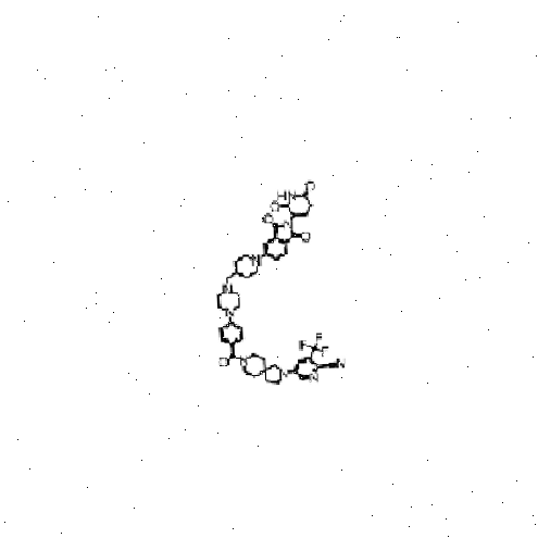 N#Cc1ncc(N2CCC3(CCN(C(=O)c4ccc(N5CCN(CC6CCN(c7ccc8c(c7)C(=O)N(C7CCC(=O)NC7=O)C8=O)CC6)CC5)cc4)CC3)C2)cc1C(F)(F)F